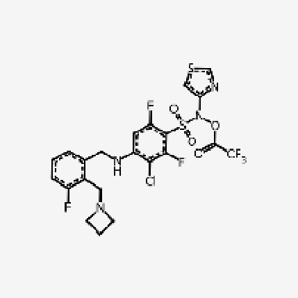 O=C(ON(c1cscn1)S(=O)(=O)c1c(F)cc(NCc2cccc(F)c2CN2CCC2)c(Cl)c1F)C(F)(F)F